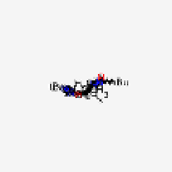 CC(C)(C)CCCCC(=O)N1CCN(C(C)(C)CCC(C)(C)CCOCCN2CCN(C(C)(C)C)CC2)CC1